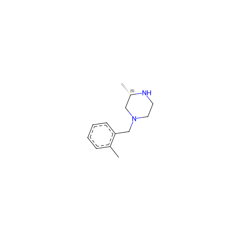 Cc1ccccc1CN1CCN[C@@H](C)C1